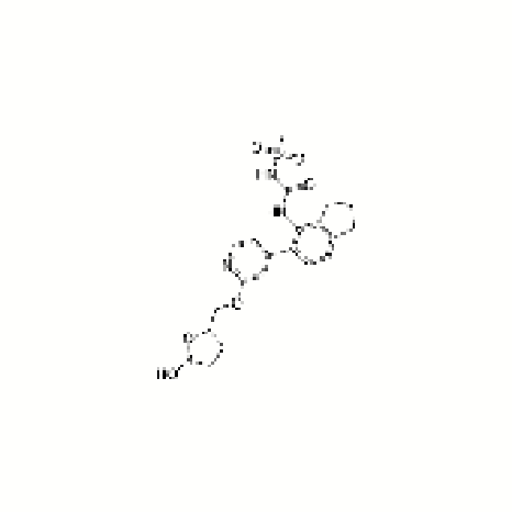 CS(=O)(=O)NC(=O)Nc1c(-c2ccnc(OCC3CCB(O)O3)c2)ccc2c1CCC2